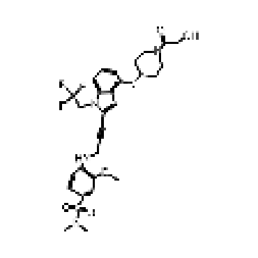 COc1cc(S(=O)(=O)N(C)C)ccc1NCC#Cc1cc2c(NC3CCN(C(=O)CO)CC3)cccc2n1CC(F)(F)F